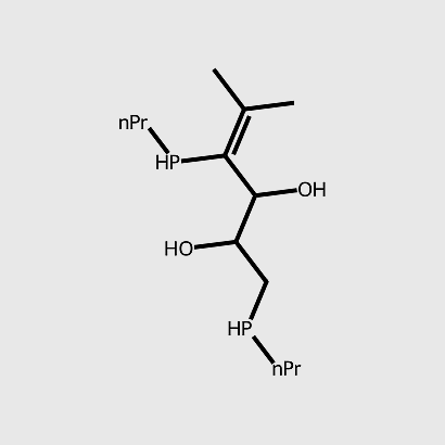 CCCPCC(O)C(O)C(PCCC)=C(C)C